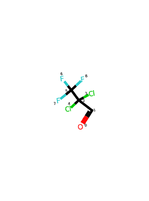 O=CC(Cl)(Cl)C(F)(F)F